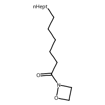 CCCCCCCCCCCCC(=O)N1CCO1